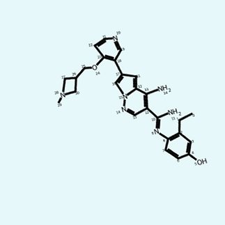 CCc1cc(O)ccc1/N=C(\N)c1cnn2cc(-c3cnccc3OCC3CN(C)C3)cc2c1N